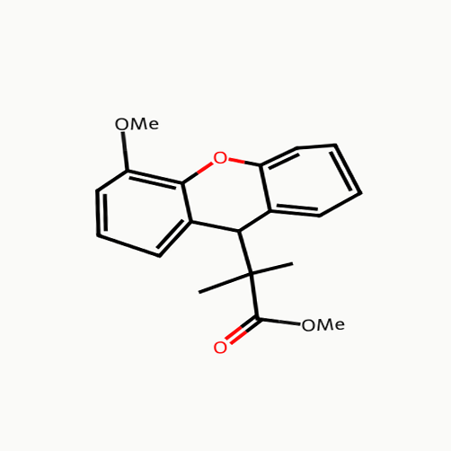 COC(=O)C(C)(C)C1c2ccccc2Oc2c(OC)cccc21